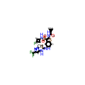 Cn1nc(C(F)F)cc1NC(=S)N[C@H]1CCc2sc(NC(=O)C3CC3)c(S(=O)(=O)N[C@H]3C[C@H](F)C3)c2C1